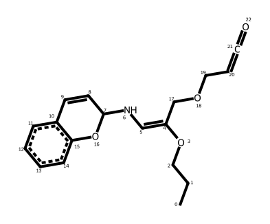 CCCO/C(=C/NC1C=Cc2ccccc2O1)COCC=C=O